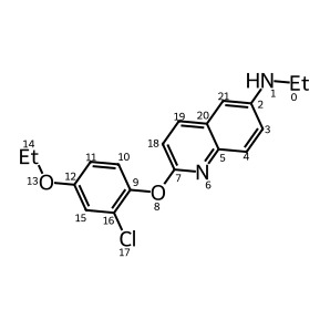 CCNc1ccc2nc(Oc3ccc(OCC)cc3Cl)ccc2c1